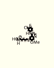 COc1cc2ncnc(Nc3ccc(F)c(Cl)c3)c2cc1SCCCCC(=O)NO